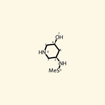 CSN[C@H]1CNC[C@@H](O)C1